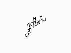 O=C(COc1ccc(Cl)c(F)c1)NC1CCN(C(=O)NCc2cc3cc(Cl)ccc3o2)CC1